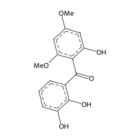 COc1cc(O)c(C(=O)c2cccc(O)c2O)c(OC)c1